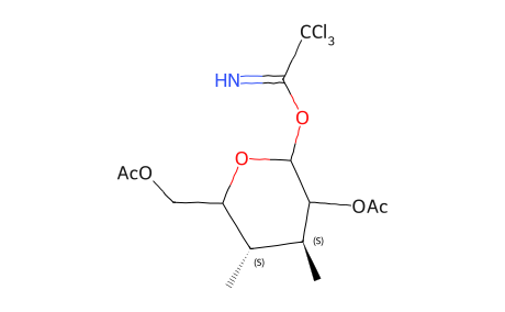 CC(=O)OCC1OC(OC(=N)C(Cl)(Cl)Cl)C(OC(C)=O)[C@@H](C)[C@@H]1C